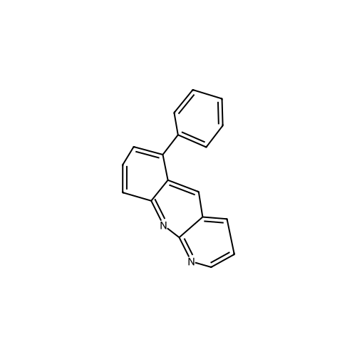 c1ccc(-c2cccc3nc4ncccc4cc23)cc1